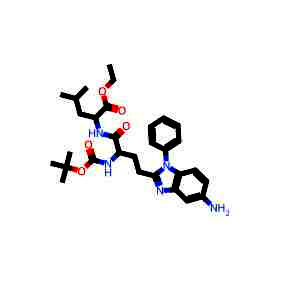 CCOC(=O)C(CC(C)C)NC(=O)C(CCc1nc2cc(N)ccc2n1-c1ccccc1)NC(=O)OC(C)(C)C